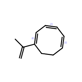 C=C(C)/C1=C/C=C\C=C/CC1